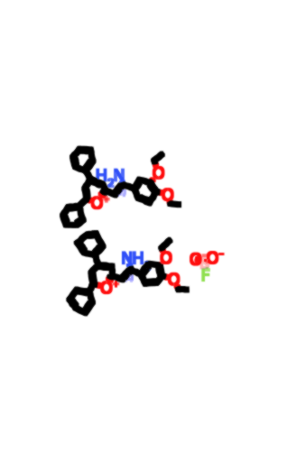 CCOc1ccc(/C(N)=C/c2cc(-c3ccccc3)cc(-c3ccccc3)[o+]2)cc1OCC.CCOc1ccc(/C(N)=C/c2cc(-c3ccccc3)cc(-c3ccccc3)[o+]2)cc1OCC.[O-]B([O-])F